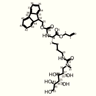 C=CCOC(=O)[C@H](CCCCNC(=O)N(C)C[C@H](O)[C@@H](O)[C@H](O)[C@H](O)CO)NC(=O)OCC1c2ccccc2-c2ccccc21